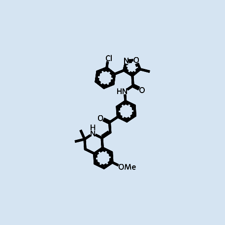 COc1ccc2c(c1)/C(=C/C(=O)c1cccc(NC(=O)c3c(-c4ccccc4Cl)noc3C)c1)NC(C)(C)C2